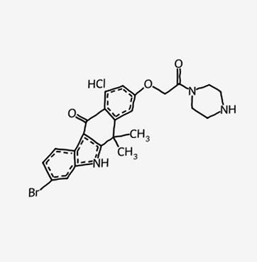 CC1(C)c2cc(OCC(=O)N3CCNCC3)ccc2C(=O)c2c1[nH]c1cc(Br)ccc21.Cl